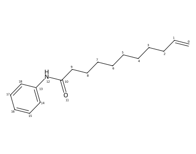 C=CCCCCCCCCC(=O)Nc1ccccc1